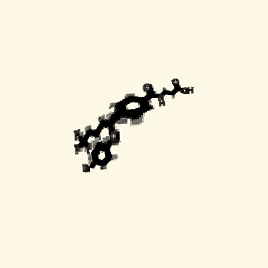 O=C(O)CCNC(=O)c1ccc(C(CCCC(F)(F)F)Oc2ccc(Br)cc2)cc1